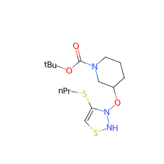 CCCSC1=CSNN1OC1CCCN(C(=O)OC(C)(C)C)C1